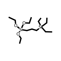 CCO[Si](CCC[Si](CC)(CC)CC)(OCC)OCC